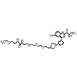 CCOCCNC(=O)NCCOCCOCCOCCN1CCN(c2cccc(-c3nc(NC(=N)N)nc4ccc(Cl)cc34)c2)CC1